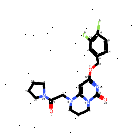 O=C(CN1CCCn2c1cc(OCc1ccc(F)c(F)c1)nc2=O)N1CCCC1